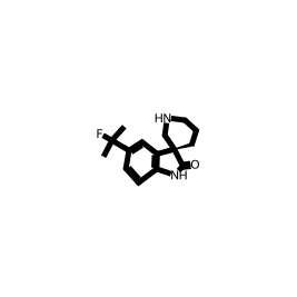 CC(C)(F)c1ccc2c(c1)[C@@]1(CCCNC1)C(=O)N2